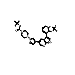 CC(C)(C)OC(=O)N1CCN(n2cc(-c3cnc4[nH]cc(-c5cccc6c5OC(F)(F)O6)c4c3)cn2)CC1